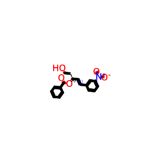 O=C(O[C@@H](/C=C/c1cccc([N+](=O)[O-])c1)CCO)c1ccccc1